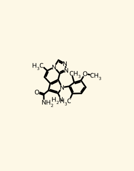 COc1ccc(C)c(-n2c(N)c(C(N)=O)c3cc(C)n4cnnc4c32)c1C